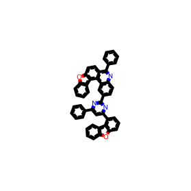 c1ccc(-c2cc(-c3cccc4oc5ccccc5c34)nc(-c3ccc4nc(-c5ccccc5)c5ccc6oc7ccccc7c6c5c4c3)n2)cc1